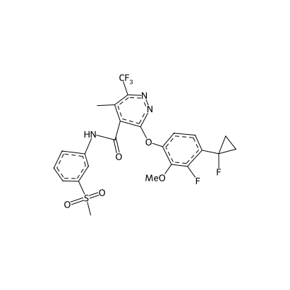 COc1c(Oc2nnc(C(F)(F)F)c(C)c2C(=O)Nc2cccc(S(C)(=O)=O)c2)ccc(C2(F)CC2)c1F